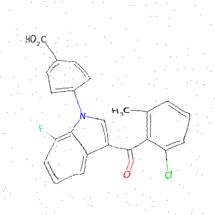 Cc1cccc(Cl)c1C(=O)c1cn(-c2ccc(C(=O)O)cc2)c2c(F)cccc12